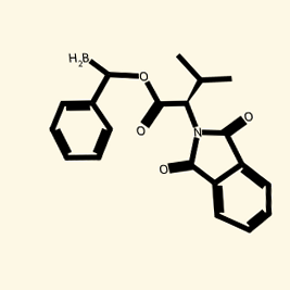 BC(OC(=O)[C@@H](C(C)C)N1C(=O)c2ccccc2C1=O)c1ccccc1